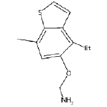 CCc1c(OCN)cc(C)c2sccc12